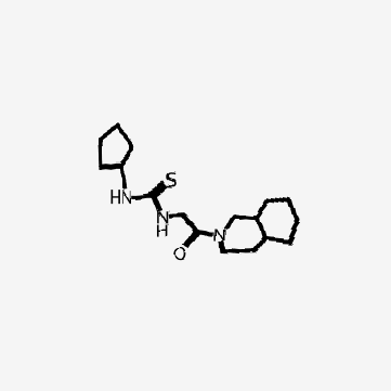 O=C(CNC(=S)NC1CCCC1)N1CCC2CCCCC2C1